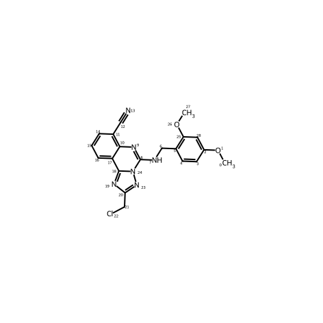 COc1ccc(CNc2nc3c(C#N)cccc3c3nc(CCl)nn23)c(OC)c1